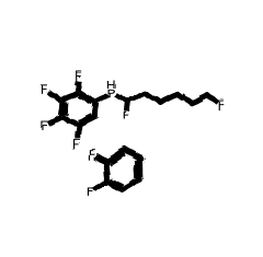 FCCCCCC(F)Pc1cc(F)c(F)c(F)c1F.Fc1c[c]ccc1F